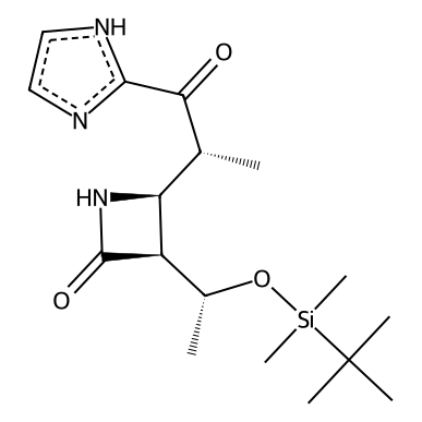 C[C@@H](O[Si](C)(C)C(C)(C)C)[C@H]1C(=O)N[C@H]1[C@@H](C)C(=O)c1ncc[nH]1